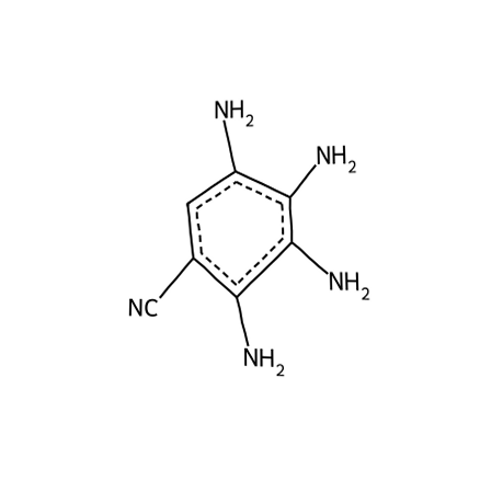 N#Cc1cc(N)c(N)c(N)c1N